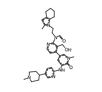 Cc1cc2c(n1CCN(C=O)c1nccc(-c3cc(Nc4ccc(C5CCN(C)CC5)cn4)c(=O)n(C)c3)c1CO)CCCC2